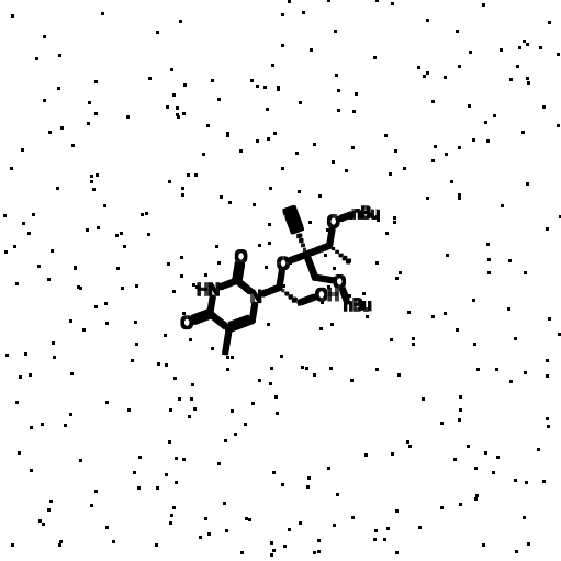 C#C[C@](COCCCC)(O[C@H](CO)n1cc(C)c(=O)[nH]c1=O)[C@@H](C)OCCCC